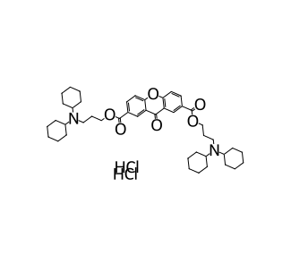 Cl.Cl.O=C(OCCCN(C1CCCCC1)C1CCCCC1)c1ccc2oc3ccc(C(=O)OCCCN(C4CCCCC4)C4CCCCC4)cc3c(=O)c2c1